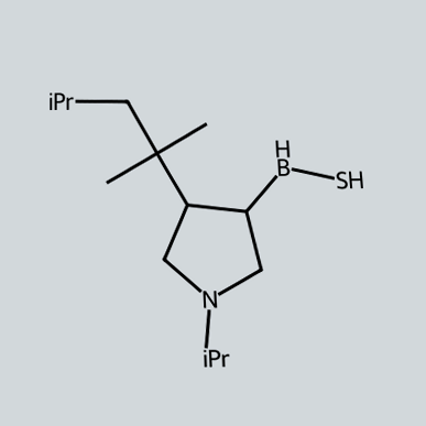 CC(C)CC(C)(C)C1CN(C(C)C)CC1BS